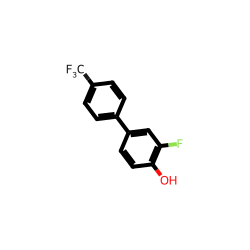 Oc1ccc(-c2ccc(C(F)(F)F)cc2)cc1F